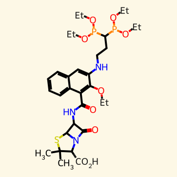 CCOc1c(NCCC(P(OCC)OCC)P(OCC)OCC)cc2ccccc2c1C(=O)NC1C(=O)N2C1SC(C)(C)C2C(=O)O